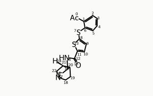 CC(=O)c1ccccc1Sc1ccc(C(=O)N[C@H]2CN3CCC2CC3)s1